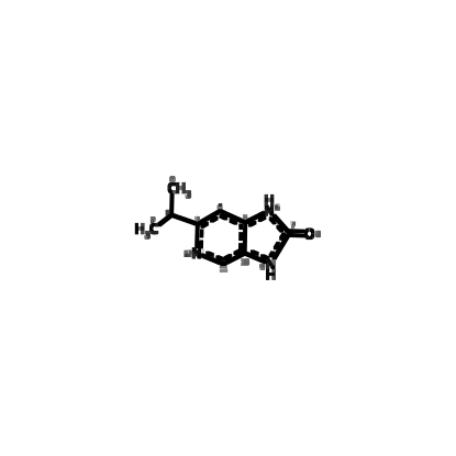 CC(C)c1cc2[nH]c(=O)[nH]c2cn1